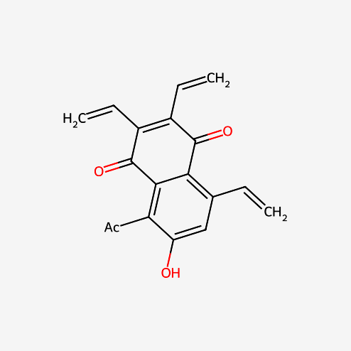 C=CC1=C(C=C)C(=O)c2c(C(C)=O)c(O)cc(C=C)c2C1=O